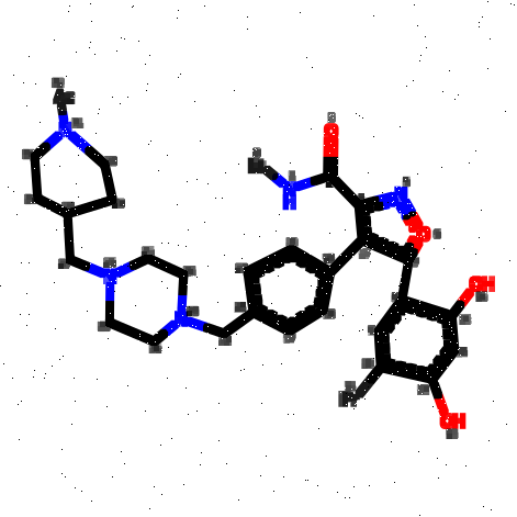 CCNC(=O)c1noc(-c2cc(C(C)C)c(O)cc2O)c1-c1ccc(CN2CCN(CC3CCN(C(C)=O)CC3)CC2)cc1